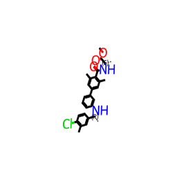 COC(=O)[C@H](C)NC(=O)c1c(C)cc(-c2cccc(N[C@H](C)c3ccc(Cl)c(C)c3)c2)cc1C